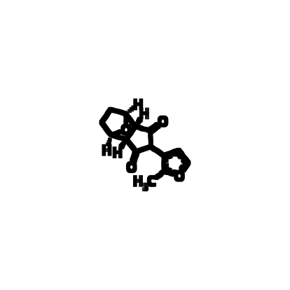 Cc1occc1C1C(=O)[C@@H]2[C@H](C1=O)[C@H]1CC[C@@H]2O1